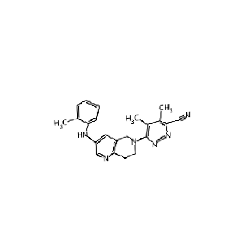 Cc1ccccc1Nc1cnc2c(c1)CN(c1nnc(C#N)c(C)c1C)CC2